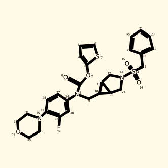 O=C(Oc1cccs1)N(CC1C2CN(S(=O)(=O)Cc3ccccc3)CC12)c1ccc(N2CCOCC2)c(F)c1